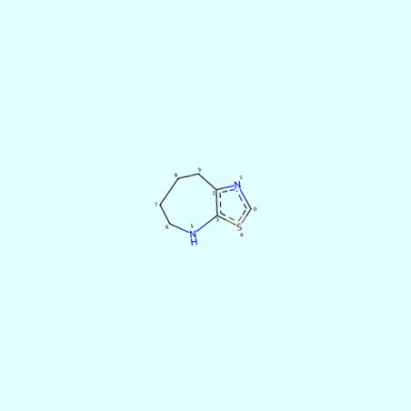 c1nc2c(s1)NCCCC2